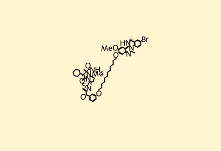 CNC(C)(C(N)=O)[C@@H](C(=O)N1CCC[C@H]1c1nc(C(=O)c2cccc(OCCCCCCCCCCCCOc3cc4nc(C)nc(N[C@H](C)c5cccc(Br)c5)c4cc3OC)c2)cs1)C1CCCCC1